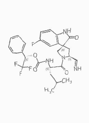 CC(C)C[C@H](NC(=O)O[C@@H](c1ccccc1)C(F)(F)F)C(=O)N1C[C@]2(C[C@H]1C=N)C(=O)Nc1ccc(F)cc12